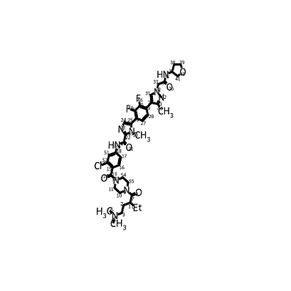 CCC(CCN(C)C)C(=O)N1CCN(C(=O)c2ccc(NC(=O)c3ncc(-c4ccc(-c5cn(CC(=O)NC6CCOC6)nc5C)c(F)c4F)n3C)cc2Cl)CC1